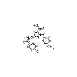 Cc1ccc(Cn2nc(C)cc2C(=O)O)cc1.NC(=O)c1ccc(Cl)cc1